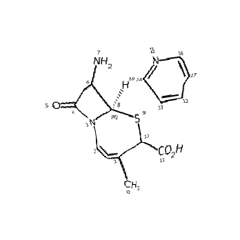 CC1=CN2C(=O)C(N)[C@H]2SC1C(=O)O.c1ccncc1